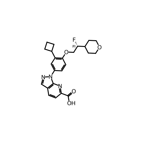 O=C(O)c1ccc2cnn(-c3ccc(OC[C@H](F)C4CCOCC4)c(C4CCC4)c3)c2n1